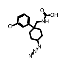 [N-]=[N+]=NC1CCC(CNC(=O)O)(c2cccc(Cl)c2)CC1